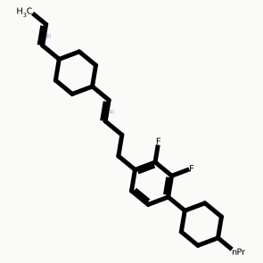 C/C=C/C1CCC(/C=C/CCc2ccc(C3CCC(CCC)CC3)c(F)c2F)CC1